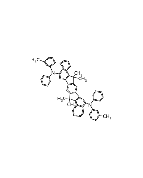 Cc1cccc(N(c2ccccc2)c2cc3c(c4ccccc24)C(C)(C)c2cc4c(cc2-3)C(C)(C)c2c-4cc(N(c3ccccc3)c3cccc(C)c3)c3ccccc23)c1